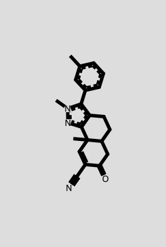 Cc1cccc(-c2c3c(nn2C)C2(C)C=C(C#N)C(=O)CC2CC3)c1